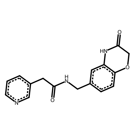 O=C(Cc1cccnc1)NCc1ccc2c(c1)NC(=O)CO2